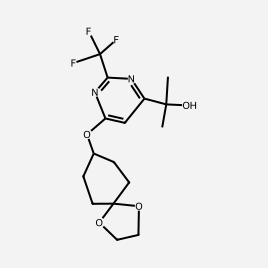 CC(C)(O)c1cc(OC2CCC3(CC2)OCCO3)nc(C(F)(F)F)n1